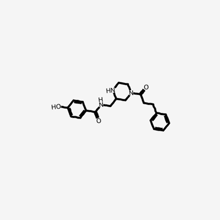 O=C(NCC1CN(C(=O)CCc2ccccc2)CCN1)c1ccc(O)cc1